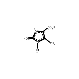 CCn1c(C)c(C(=O)O)sc1=O